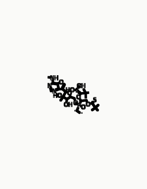 [CH2][CH]P(=O)(OCC1OC(c2coc3c(NC)ncnc23)C(C)(O)C1O)C(COC(=S)C(C)(C)C)OC(=S(O)O)C(C)(C)C